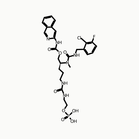 CN(C(=O)NCc1cccc(F)c1Cl)[C@@H](CCCNC(=O)NCCOP(=O)(O)O)COC(=O)Nc1cc2ccccc2cn1